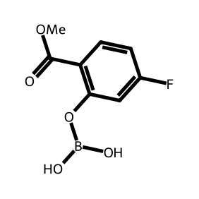 COC(=O)c1ccc(F)cc1OB(O)O